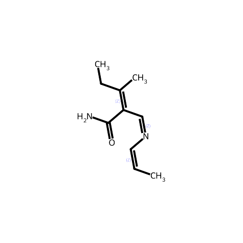 C\C=C/N=C\C(C(N)=O)=C(/C)CC